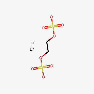 O=S(=O)([O-])OCCOS(=O)(=O)[O-].[Li+].[Li+]